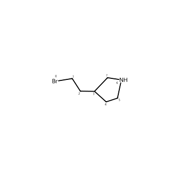 BrCCC1CCNC1